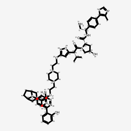 Cc1ncsc1-c1ccc([C@@H](CN)NC(=O)[C@@H]2C[C@@H](O)CN2C(=O)[C@@H](c2cc(OCCN3CCN(CCOc4cc(N5C6CCC5CN(c5cc(-c7ccccc7O)nnc5N)C6)ccn4)CC3)no2)C(C)C)cc1